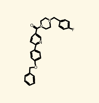 O=C(c1ccc(-c2ccc(OCc3ccccc3)cc2)nc1)N1CCN(Cc2ccc(F)cc2)CC1